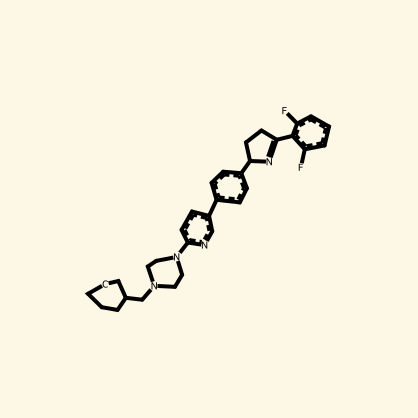 Fc1cccc(F)c1C1=NC(c2ccc(-c3ccc(N4CCN(CC5CCCCC5)CC4)nc3)cc2)CC1